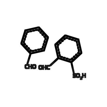 O=Cc1ccccc1.O=Cc1ccccc1S(=O)(=O)O